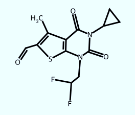 Cc1c(C=O)sc2c1c(=O)n(C1CC1)c(=O)n2CC(F)F